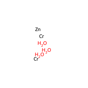 O.O.O.[Cr].[Cr].[Zn]